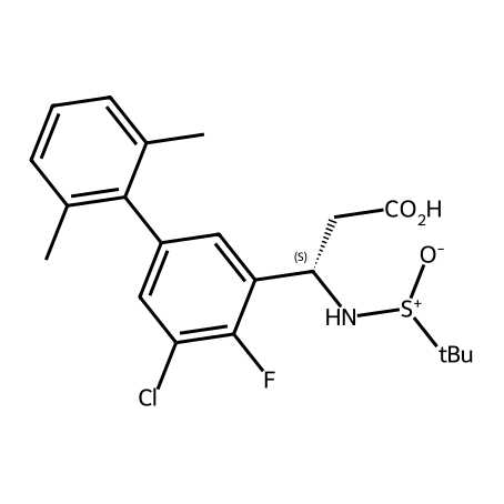 Cc1cccc(C)c1-c1cc(Cl)c(F)c([C@H](CC(=O)O)N[S+]([O-])C(C)(C)C)c1